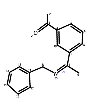 CC(=O)c1cccc(/C(C)=N\Cc2ccccc2)c1